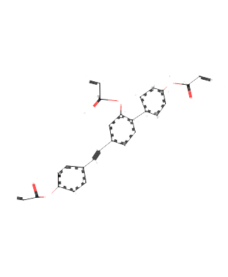 C=CC(=O)Oc1ccc(C#Cc2ccc(-c3ccc(OC(=O)C=C)cc3)c(OC(=O)C=C)c2)cc1